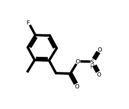 Cc1cc(F)ccc1CC(=O)O[SH](=O)=O